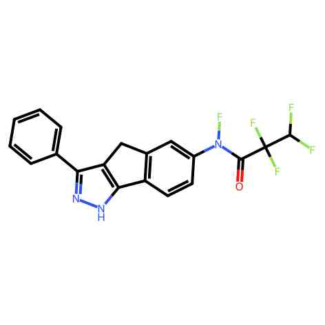 O=C(N(F)c1ccc2c(c1)Cc1c(-c3ccccc3)n[nH]c1-2)C(F)(F)C(F)F